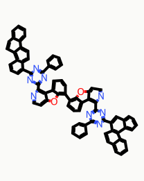 c1ccc(-c2nc(-c3cccc4c3ccc3c5ccccc5ccc43)nc(-c3nccc4oc5c(-c6cccc7c6oc6ccnc(-c8nc(-c9ccccc9)nc(-c9cc%10ccccc%10c%10c9ccc9ccccc9%10)n8)c67)cccc5c34)n2)cc1